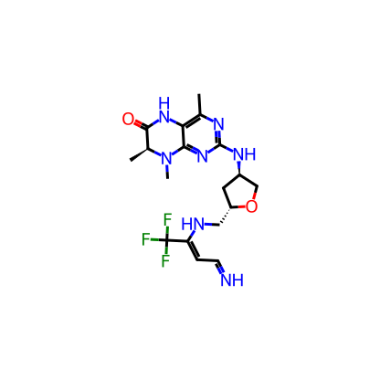 Cc1nc(N[C@H]2CO[C@H](CN/C(=C\C=N)C(F)(F)F)C2)nc2c1NC(=O)[C@H](C)N2C